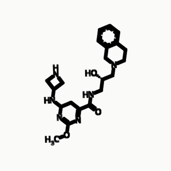 COC1=NC(NC2CNC2)CC(C(=O)NC[C@H](O)CN2CCc3ccccc3C2)=N1